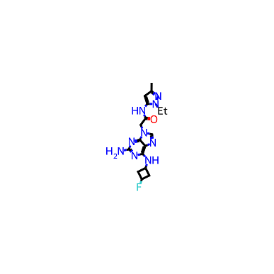 CCn1nc(C)cc1NC(=O)Cn1cnc2c(NC3CC(F)C3)nc(N)nc21